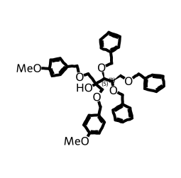 COc1ccc(COCC(O)(COCc2ccc(OC)cc2)[C@@H](OCc2ccccc2)[C@@H](COCc2ccccc2)OCc2ccccc2)cc1